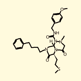 COc1ccc(CNC(=O)N2[C@H]3CN(CCCCc4ccccc4)C(=O)[C@H](CCSC)N3C(=O)CN2C)cc1